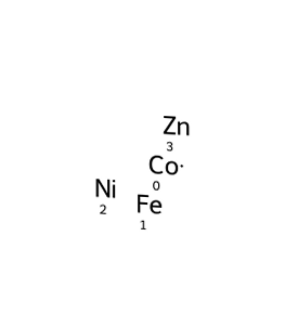 [Co].[Fe].[Ni].[Zn]